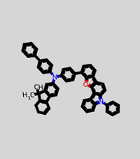 CC1(C)C2=C(C=CCC2)c2ccc(N(c3ccc(-c4ccccc4)cc3)c3ccc(-c4cccc5c4oc4c5ccc5c4c4ccccc4n5-c4ccccc4)cc3)cc21